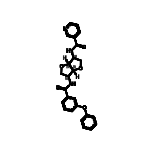 O=C(N[C@H]1CO[C@H]2[C@@H]1OC[C@@H]2NC(=O)c1cccc(Oc2ccccc2)c1)c1cccnc1